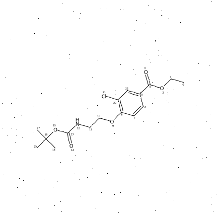 CCOC(=O)c1ccc(OCCNC(=O)OC(C)(C)C)c(Cl)c1